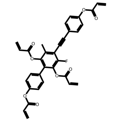 C=CC(=O)Oc1ccc(C#Cc2c(C)c(OC(=O)C=C)c(-c3ccc(OC(=O)C=C)cc3)c(OC(=O)C=C)c2F)cc1